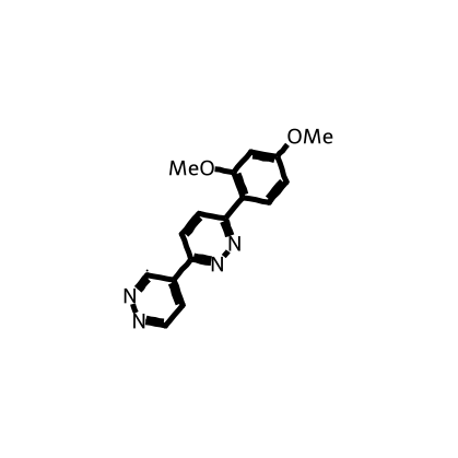 COc1ccc(-c2ccc(-c3[c]nncc3)nn2)c(OC)c1